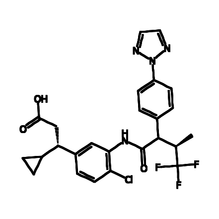 C[C@H](C(C(=O)Nc1cc([C@@H](CC(=O)O)C2CC2)ccc1Cl)c1ccc(-n2nccn2)cc1)C(F)(F)F